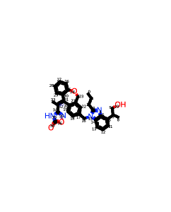 CCCc1nc2c(C(C)CO)cccc2n1Cc1ccc2c(c1)COc1ccccc1/C2=C(\C)c1noc(=O)[nH]1